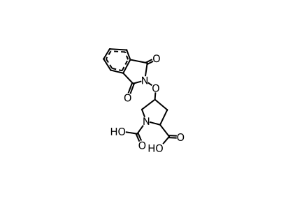 O=C(O)C1CC(ON2C(=O)c3ccccc3C2=O)CN1C(=O)O